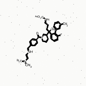 Cc1cccc(-c2c(F)cccc2C(O)(CCCNC(=O)O)C2CCCN(C(=O)c3ccc(CNCCN(C)C)cc3)C2)c1